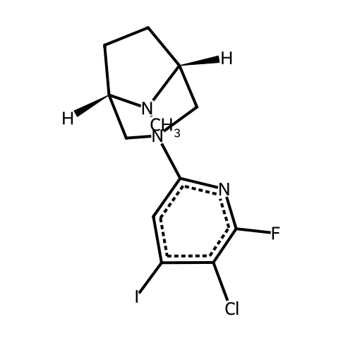 CN1[C@@H]2CC[C@H]1CN(c1cc(I)c(Cl)c(F)n1)C2